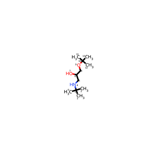 CC(C)(C)NCC(O)COC(C)(C)C